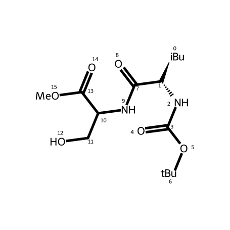 CC[C@H](C)[C@H](NC(=O)OC(C)(C)C)C(=O)NC(CO)C(=O)OC